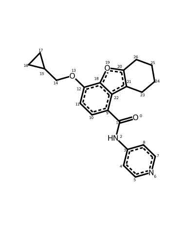 O=C(Nc1ccncc1)c1ccc(OCC2CC2)c2oc3c(c12)CCCC3